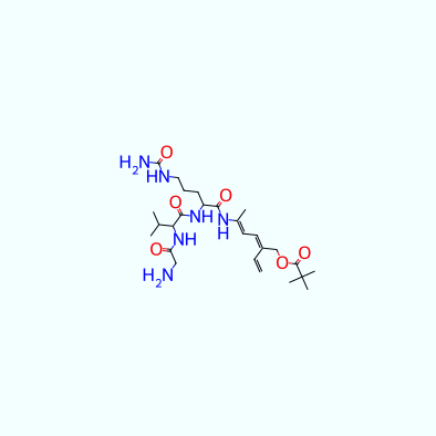 C=C/C(=C\C=C(/C)NC(=O)C(CCCNC(N)=O)NC(=O)C(NC(=O)CN)C(C)C)COC(=O)C(C)(C)C